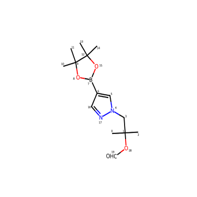 CC(C)(Cn1cc(B2OC(C)(C)C(C)(C)O2)cn1)OC=O